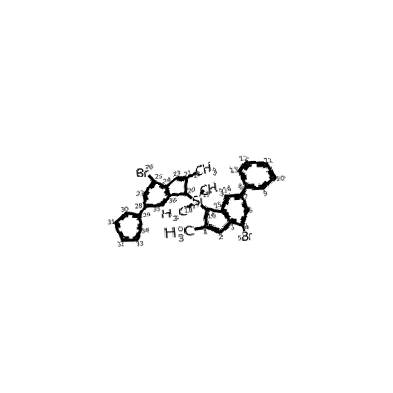 CC1=Cc2c(Br)cc(-c3ccccc3)cc2C1[Si](C)(C)C1C(C)=Cc2c(Br)cc(-c3ccccc3)cc21